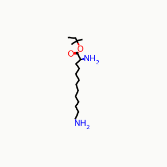 CCC(C)(C)OC(=O)C(N)CCCCCCCCCCCN